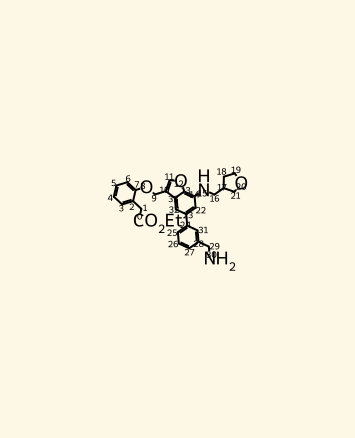 CCOC(=O)Cc1ccccc1OCc1coc2c(NCC3CCOC3)cc(-c3cccc(CN)c3)cc12